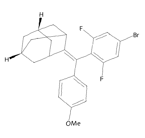 COc1ccc(C(=C2C3C[C@H]4CC2C[C@H](C3)C4)c2c(F)cc(Br)cc2F)cc1